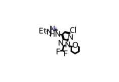 CCN(C)/N=C\Nc1cc(Cl)nc2c1nc(C(F)F)n2C1CCCCO1